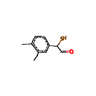 Cc1ccc(C(S)[C]=O)cc1C